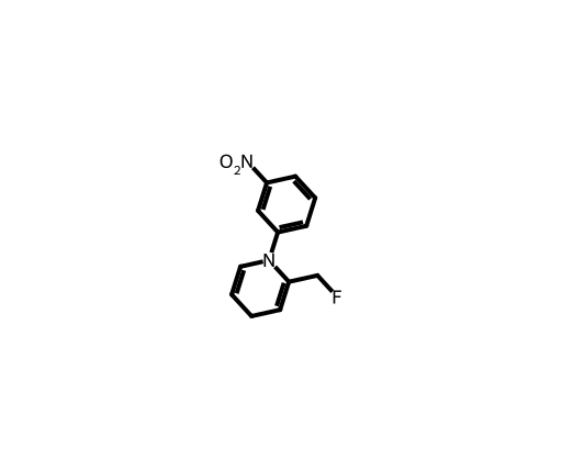 O=[N+]([O-])c1cccc(N2C=CCC=C2CF)c1